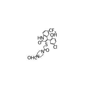 O=CN1CCN(C(=O)CSc2c(-c3cc(Cl)ccc3O)c3cc(C(F)(F)F)ccc3[nH]c2=O)CC1